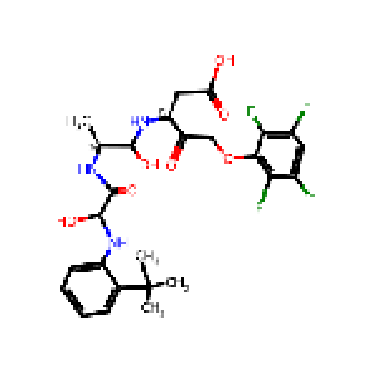 C[C@H](NC(=O)C(O)Nc1ccccc1C(C)(C)C)C(O)N[C@@H](CC(=O)O)C(=O)COc1c(F)c(F)cc(F)c1F